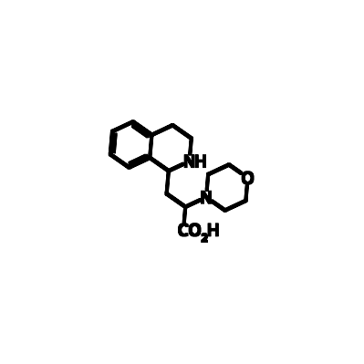 O=C(O)C(CC1NCCc2ccccc21)N1CCOCC1